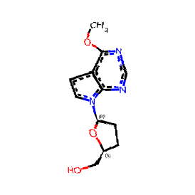 COc1ncnc2c1ccn2[C@H]1CC[C@@H](CO)O1